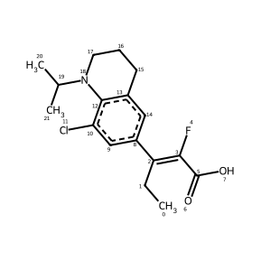 CCC(=C(F)C(=O)O)c1cc(Cl)c2c(c1)CCCN2C(C)C